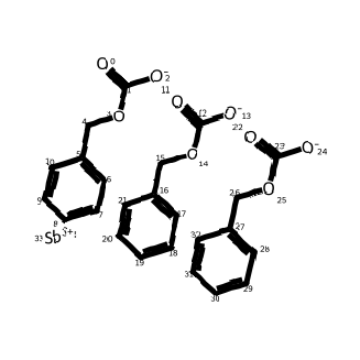 O=C([O-])OCc1ccccc1.O=C([O-])OCc1ccccc1.O=C([O-])OCc1ccccc1.[Sb+3]